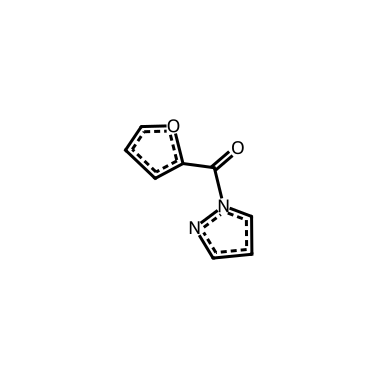 O=C(c1ccco1)n1cccn1